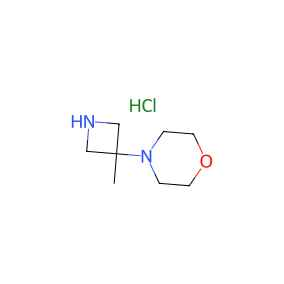 CC1(N2CCOCC2)CNC1.Cl